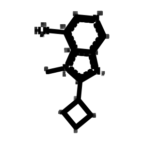 Cn1c(C2CCC2)nc2cncc(N)c21